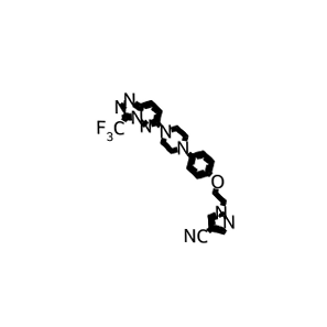 N#Cc1cnn(CCOc2ccc(N3CCN(c4ccc5nnc(C(F)(F)F)n5n4)CC3)cc2)c1